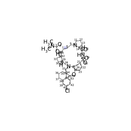 CN(C)C(=O)O[C@H]1/C=C/CN2CCC[C@H]2C(=O)NS(=O)(=O)c2ccc3c(c2)N(C[C@@H]2CC[C@H]21)C[C@@]1(CCCc2cc(Cl)ccc21)CO3